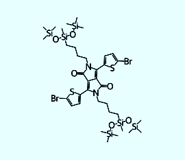 C[Si](C)(C)O[Si](C)(CCCCN1C(=O)C2=C(c3ccc(Br)s3)N(CCCC[Si](C)(O[Si](C)(C)C)O[Si](C)(C)C)C(=O)C2=C1c1ccc(Br)s1)O[Si](C)(C)C